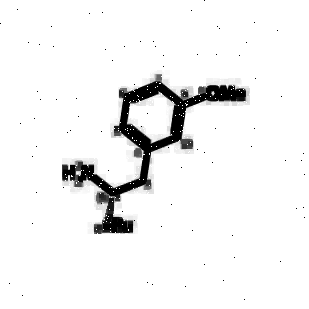 CCCC[C@H](N)Cc1cccc(OC)c1